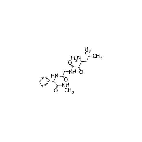 CNC(=O)C(NC(=O)CNC(=O)C(=O)C(N)CC(C)C)c1ccccc1